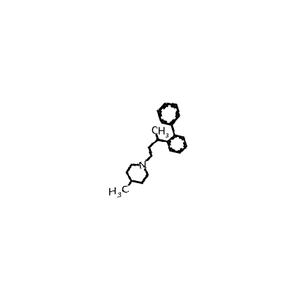 CC1CCN(CCC(C)c2ccccc2-c2ccccc2)CC1